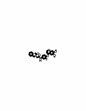 COc1cc2nccc(Oc3ccc(NC(=O)CN(Cc4ccccc4)C(C)=O)cc3F)c2cc1OC